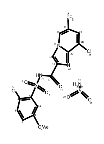 COc1ccc(Cl)c(S(=O)(=O)NC(=O)c2cn3cc(C(F)(F)F)cc(Cl)c3n2)c1.N[SH](=O)=O